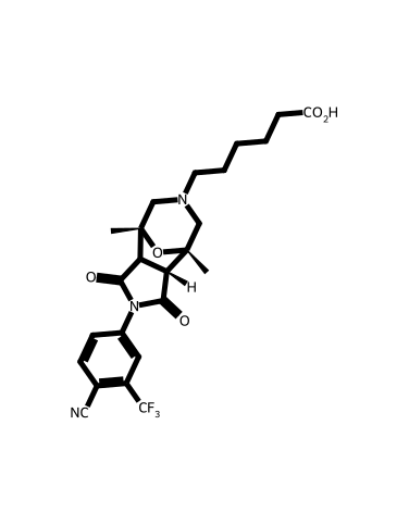 C[C@]12CN(CCCCCC(=O)O)C[C@](C)(O1)C1C(=O)N(c3ccc(C#N)c(C(F)(F)F)c3)C(=O)[C@H]12